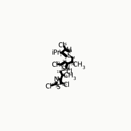 CC(C)C1=C[SH](CC(C)C2=C(Cl)[SH](CC(C)c3nc(Cl)sc3Cl)C(Cl)=C2)C=C1Cl